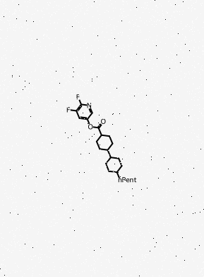 CCCCCC1CCC(C2CCC(C(=O)Oc3cnc(F)c(F)c3)CC2)CC1